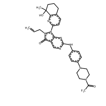 C=CCn1c(=O)c2cnc(Nc3ccc(N4CCN(C(=O)C(F)(F)F)CC4)cc3)nc2n1-c1ccc2c(n1)C(C)(O)CCC2